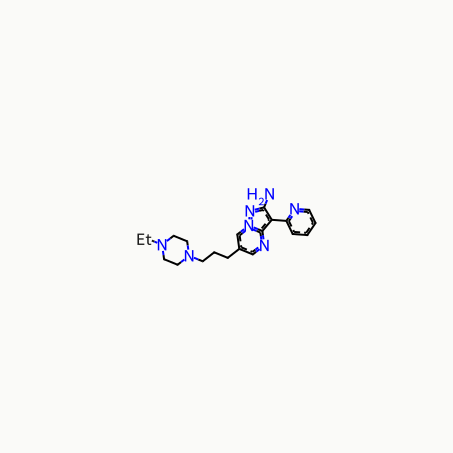 CCN1CCN(CCCc2cnc3c(-c4ccccn4)c(N)nn3c2)CC1